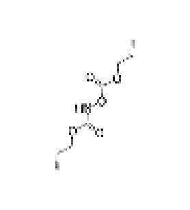 C=CCOC(=O)NOC(=O)OCC=C